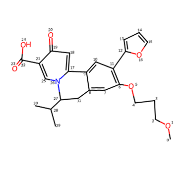 COCCCOc1cc2c(cc1-c1ccco1)-c1cc(=O)c(C(=O)O)cn1C(C(C)C)C2